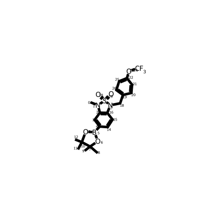 CN1c2cc(B3OC(C)(C)C(C)(C)O3)ccc2N(Cc2ccc(OC(F)(F)F)cc2)S1(=O)=O